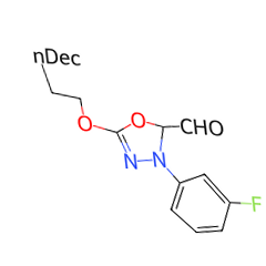 CCCCCCCCCCCCOC1=NN(c2cccc(F)c2)C(C=O)O1